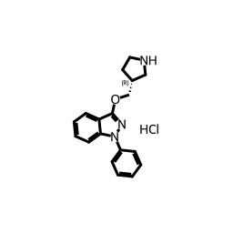 Cl.c1ccc(-n2nc(OC[C@@H]3CCNC3)c3ccccc32)cc1